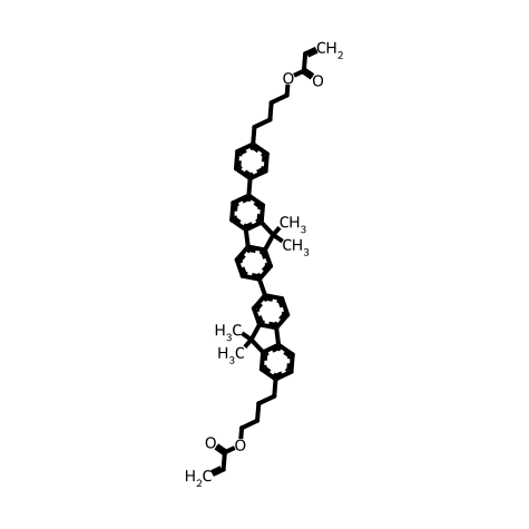 C=CC(=O)OCCCCc1ccc(-c2ccc3c(c2)C(C)(C)c2cc(-c4ccc5c(c4)C(C)(C)c4cc(CCCCOC(=O)C=C)ccc4-5)ccc2-3)cc1